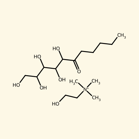 CCCCCC(=O)C(O)C(O)C(O)C(O)CO.C[N+](C)(C)CCO